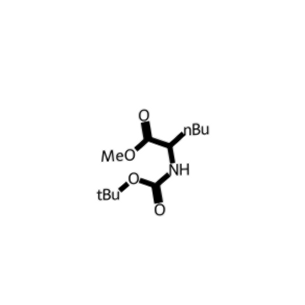 CCCCC(NC(=O)OC(C)(C)C)C(=O)OC